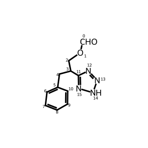 O=COCC(Cc1ccccc1)c1nn[nH]n1